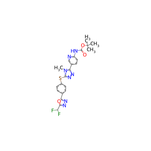 Cn1c(Sc2ccc(-c3nnc(C(F)F)o3)cc2)nnc1-c1ccc(NC(=O)OC(C)(C)C)nc1